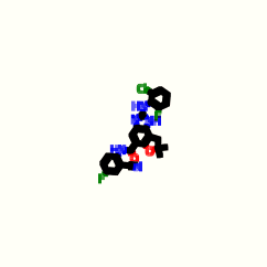 CC1(C)Cc2c(c(C(=O)Nc3ccc(F)cc3C#N)cc3nc(Nc4c(F)cccc4Cl)[nH]c23)O1